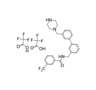 O=C(NCc1cccc(-c2cccc(CN3CCNCC3)c2)c1)c1cccc(C(F)(F)F)c1.O=C(O)C(F)(F)F.O=C(O)C(F)(F)F